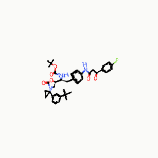 CC(C)(C)OC(=O)N[C@@H](Cc1ccc(NC(=O)CC(=O)c2ccc(F)cc2)cc1)[C@H]1CN(C2(c3cccc(C(C)(C)C)c3)CC2)C(=O)O1